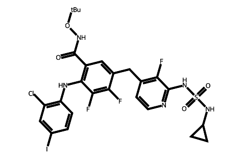 CC(C)(C)ONC(=O)c1cc(Cc2ccnc(NS(=O)(=O)NC3CC3)c2F)c(F)c(F)c1Nc1ccc(I)cc1Cl